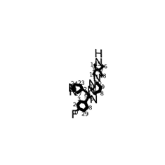 Fc1ccc(-c2nc3ccc(N4CC5CNCC5C4)nn3c2-c2ccnnc2)cc1